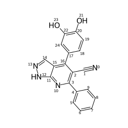 N#Cc1c(-c2ccccc2)nc2[nH]ncc2c1-c1ccc(O)c(O)c1